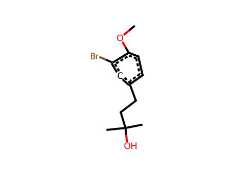 COc1ccc(CCC(C)(C)O)cc1Br